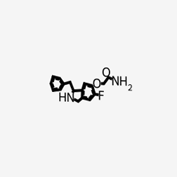 NC(=O)COc1cc2c(cc1F)CNC2Cc1ccccc1